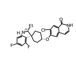 CC[C@H](N)[C@]1(c2ccc(F)cc2F)CC[C@@H](Oc2cc3cc[nH]c(=O)c3cc2Cl)CC1